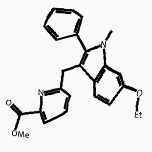 CCOc1ccc2c(Cc3cccc(C(=O)OC)n3)c(-c3ccccc3)n(C)c2c1